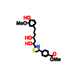 COC(=O)c1ccc(C2CSC(C(O)CC(O)CCCc3ccc(O)c(OC)c3)=N2)cc1